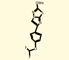 COc1nn2cc(-c3ccc(OC(F)F)cc3)nc2s1